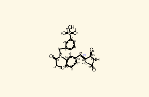 CS(=O)(=O)c1cccc(CN2C(=O)COc3ccc(/C=C4\SC(=O)NC4=O)cc32)c1